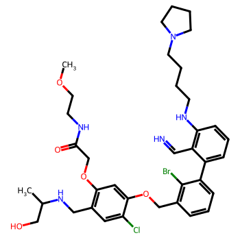 COCCNC(=O)COc1cc(OCc2cccc(-c3cccc(NCCCCN4CCCC4)c3C=N)c2Br)c(Cl)cc1CNC(C)CO